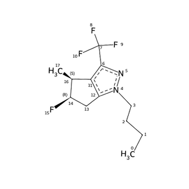 CCCCn1nc(C(F)(F)F)c2c1C[C@@H](F)[C@H]2C